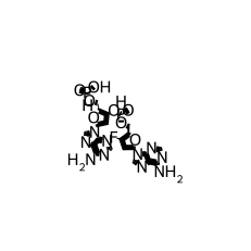 Nc1ncnc2c1ncn2[C@H]1C[C@H](O[PH](=O)OC[C@H]2O[C@@H](n3cnc4c(N)ncnc43)C[C@@H]2F)[C@@H](CO[PH](=O)O)O1